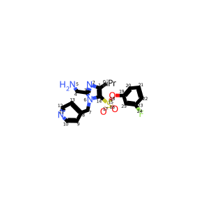 CC(C)c1nc(CN)n(Cc2ccncc2)c1S(=O)(=O)Oc1cccc(F)c1